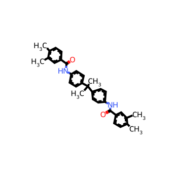 Cc1ccc(C(=O)Nc2ccc(C(C)(C)c3ccc(NC(=O)c4ccc(C)c(C)c4)cc3)cc2)cc1C